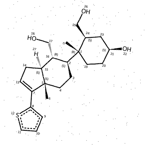 C[C@]1([C@H]2CC[C@]3(C)C(c4cccs4)=CC[C@H]3[C@@H]2CO)CC[C@H](O)C[C@@H]1CO